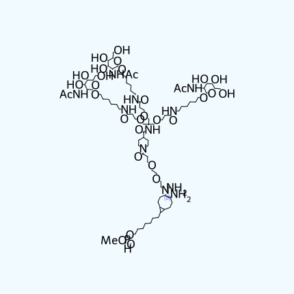 CO[PH](=O)OCCCCCCCC1C2CC/C(N)=C(/N(N)CCOCCOCCC(=O)N3CCC(C(=O)NC(COCCC(=O)NCCCCCCOC4OC(CO)C(O)C(O)C4NC(C)=O)(COCCC(=O)NCCCCCCOC4OC(CO)C(O)C(O)C4NC(C)=O)COCCC(=O)NCCCCCCOC4OC(CO)C(O)C(O)C4NC(C)=O)CC3)CCC12